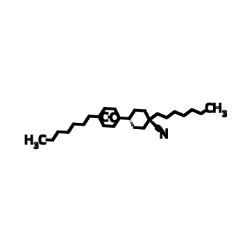 CCCCCCCC12CCC([C@H]3CC[C@@](C#N)(CCCCCCC)CC3)(CC1)CC2